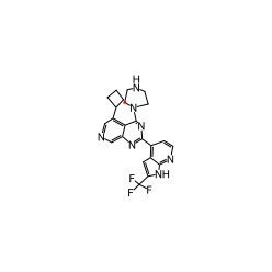 FC(F)(F)c1cc2c(-c3nc(N4CCNCC4)c4c(C5CCC5)cncc4n3)ccnc2[nH]1